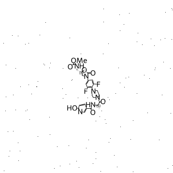 COC(=O)NC[C@H]1CN(c2cc(F)c(N3CCN(C(=O)[C@H](C)NC(=O)c4ccc(O)nc4)CC3)c(F)c2)C(=O)O1